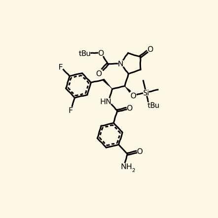 CC(C)(C)OC(=O)N1CC(=O)CC1[C@@H](O[Si](C)(C)C(C)(C)C)[C@H](Cc1cc(F)cc(F)c1)NC(=O)c1cccc(C(N)=O)c1